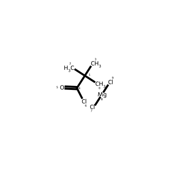 CC(C)(C)C(=O)Cl.[Cl][Mg][Cl]